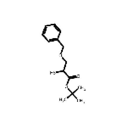 CC(C)(C)OC(=O)C(S)COCc1ccccc1